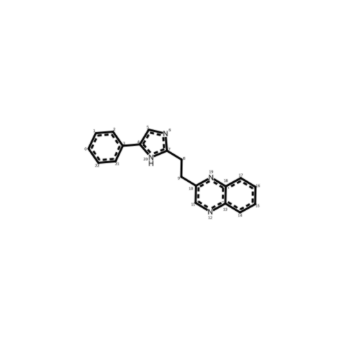 c1ccc(-c2cnc(CCc3cnc4ccccc4n3)[nH]2)cc1